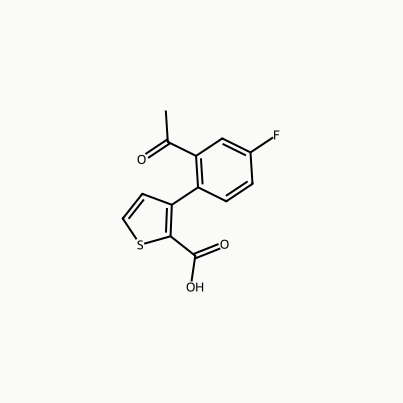 CC(=O)c1cc(F)ccc1-c1ccsc1C(=O)O